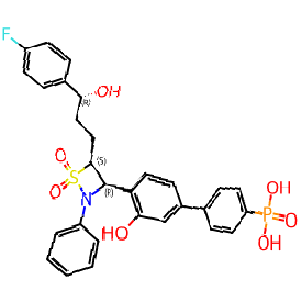 O=P(O)(O)c1ccc(-c2ccc([C@@H]3[C@H](CC[C@@H](O)c4ccc(F)cc4)S(=O)(=O)N3c3ccccc3)c(O)c2)cc1